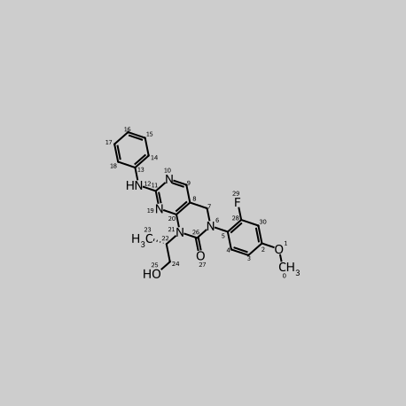 COc1ccc(N2Cc3cnc(Nc4ccccc4)nc3N([C@@H](C)CO)C2=O)c(F)c1